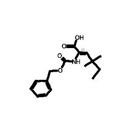 CCC(C)(C)/C=C(\NC(=O)OCc1ccccc1)C(=O)O